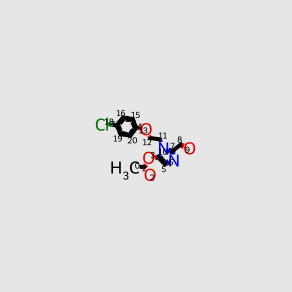 CC(=O)Oc1cnc(C=O)n1CCOc1ccc(Cl)cc1